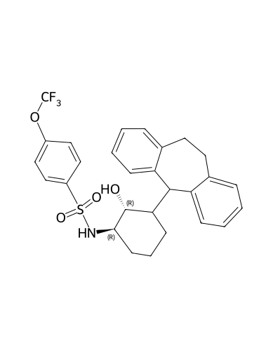 O=S(=O)(N[C@@H]1CCCC(C2c3ccccc3CCc3ccccc32)[C@H]1O)c1ccc(OC(F)(F)F)cc1